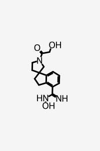 N=C(NO)c1cccc2c1CCC21CCN(C(=O)CO)C1